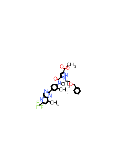 COC(=O)c1cc(C(=O)N(C)c2ccc(-c3ncc4nc(C(F)(F)F)cc(C)c4n3)cc2C)n(CCOCc2ccccc2)n1